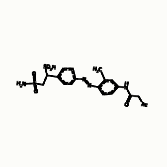 CC(=O)CC(=O)Nc1ccc(N=Nc2ccc(C(CS(N)(=O)=O)S(=O)(=O)O)cc2)c(C)c1